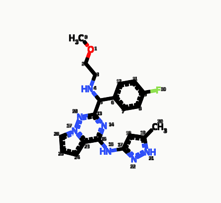 COCCNC(c1ccc(F)cc1)c1nc(Nc2cc(C)[nH]n2)c2cccn2n1